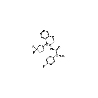 C[C@H](C(=O)N[C@H]1COc2ccccc2[C@@H]1N1CCC(F)(F)C1)c1ccc(F)cc1